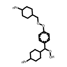 CCCC1CCC(COOc2ccc(C(OO)C3CCC(CCC)CC3)cc2)CC1